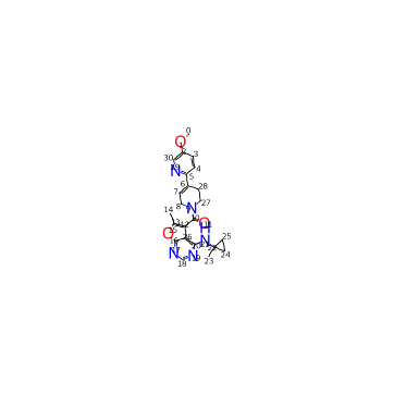 COc1ccc(C2=CCN(C(=O)c3c(C)oc4ncnc(NC5(C)CC5)c34)CC2)nc1